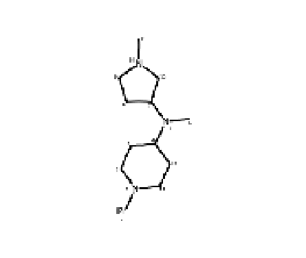 CC(C)N1CCC(N(C)C2CCN(C)C2)CC1